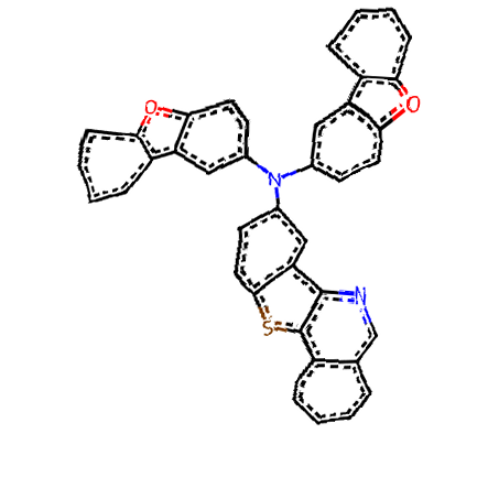 c1ccc2c(c1)cnc1c3cc(N(c4ccc5oc6ccccc6c5c4)c4ccc5oc6ccccc6c5c4)ccc3sc21